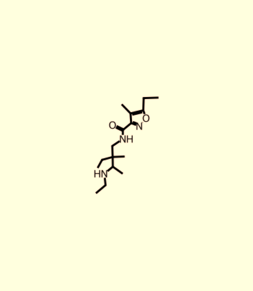 CCNC(C)C(C)(CC)CNC(=O)c1noc(CC)c1C